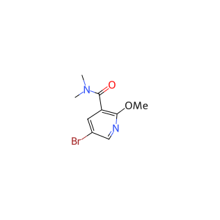 COc1ncc(Br)cc1C(=O)N(C)C